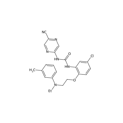 CCN(CCOc1ccc(Cl)cc1NC(=O)Nc1cnc(C#N)cn1)c1cccc(C)c1